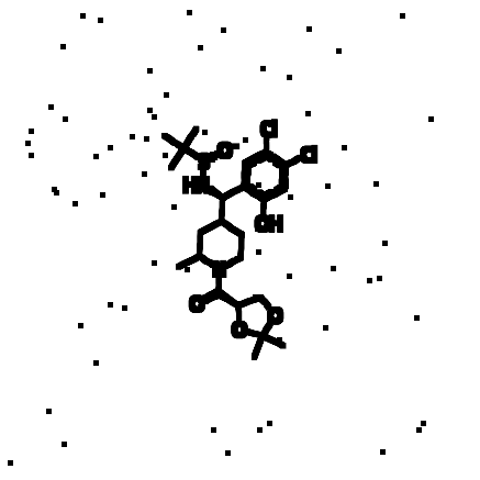 CC1CC([C@@H](N[S@@+]([O-])C(C)(C)C)c2cc(Cl)c(Cl)cc2O)CCN1C(=O)[C@H]1COC(C)(C)O1